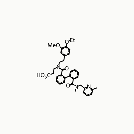 CCOc1ccc(CCN(CCC(=O)O)C(=O)c2ccccc2-c2ccccc2C(=O)N(C)Cc2cccc(C)n2)cc1OC